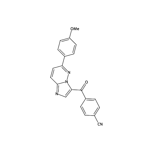 COc1ccc(-c2ccc3ncc(C(=O)c4ccc(C#N)cc4)n3n2)cc1